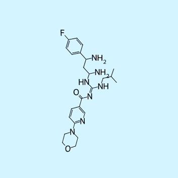 CC(C)CN/C(=N/C(=O)c1ccc(N2CCOCC2)nc1)NC(N)CC(N)c1ccc(F)cc1